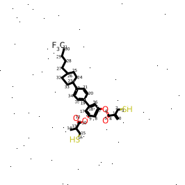 C=C(CS)C(=O)Oc1cc(OC(=O)C(C)CS)cc(-c2ccc(C3CCC(CCCCC(F)(F)F)CC3)cc2)c1